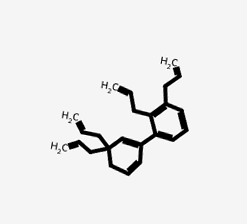 C=CCc1cccc(C2=CC(CC=C)(CC=C)CC=C2)c1CC=C